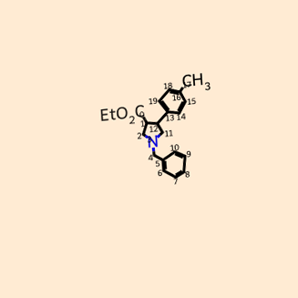 CCOC(=O)C1CN(Cc2ccccc2)CC1c1ccc(C)cc1